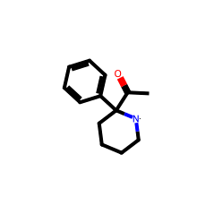 CC(=O)C1(c2ccccc2)CCCC[N]1